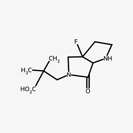 CC(C)(CN1CC2(F)CCNC2C1=O)C(=O)O